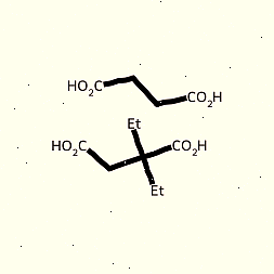 CCC(CC)(CC(=O)O)C(=O)O.O=C(O)CCC(=O)O